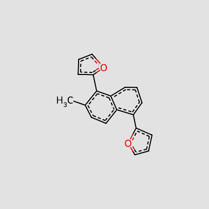 Cc1ccc2c(-c3ccco3)cccc2c1-c1ccco1